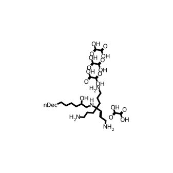 CCCCCCCCCCCCCCC(O)CNC(/C=C/CN)(CCCN)CCCN.O=C(O)C(=O)O.O=C(O)C(=O)O.O=C(O)C(=O)O.O=C(O)C(=O)O